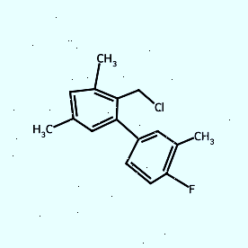 Cc1cc(C)c(CCl)c(-c2ccc(F)c(C)c2)c1